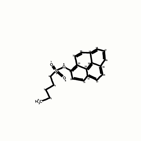 CCCCCS(=O)(=O)Oc1ccc2ccc3cccc4ccc1c2c34